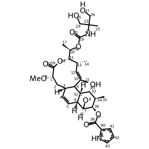 CO[C@H]1C[C@H]2C=C[C@H]3[C@H]4O[C@]2(/C(C)=C/[C@@H](C)[C@@H]([C@@H](C)OC(=O)NC(C)(CO)CO)OC1=O)[C@@H]3[C@H](O)[C@@H](C)[C@H]4OC(=O)c1ccc[nH]1